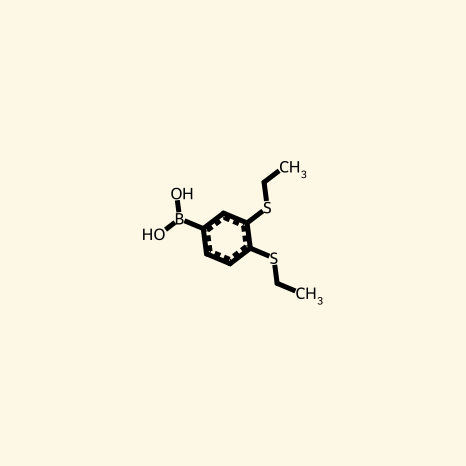 CCSc1ccc(B(O)O)cc1SCC